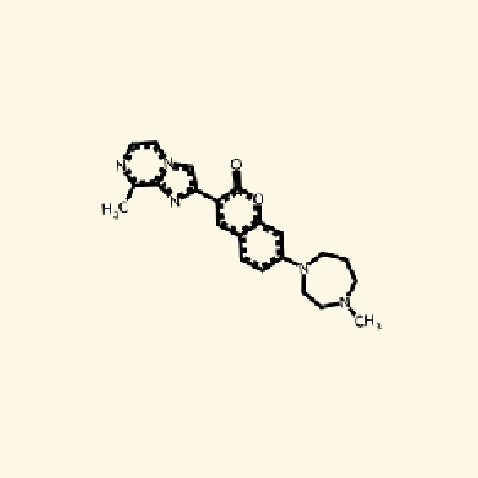 Cc1nccn2cc(-c3cc4ccc(N5CCCN(C)CC5)cc4oc3=O)nc12